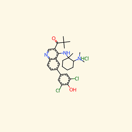 CN(C)C1CCCCC1(C)Nc1c(C(=O)C(C)(C)C)cnc2ccc(-c3cc(Cl)c(O)c(Cl)c3)cc12.Cl